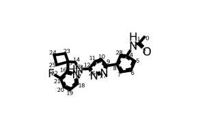 CC(=O)Nc1cccc(-c2ccc(NCC3(c4ncccc4F)CCC3)nn2)c1